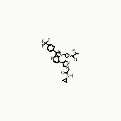 C=C(F)C(=O)N1CC(n2nc(-c3ccc(C(F)(F)F)cc3)c3nccc(-c4cnn(CC(=O)NC5CC5)c4)c32)C1